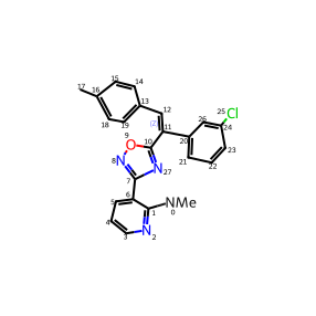 CNc1ncccc1-c1noc(/C(=C\c2ccc(C)cc2)c2cccc(Cl)c2)n1